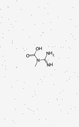 CN(C(=N)N)C(=O)O